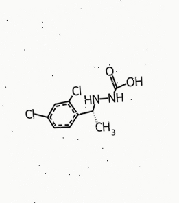 C[C@@H](NNC(=O)O)c1ccc(Cl)cc1Cl